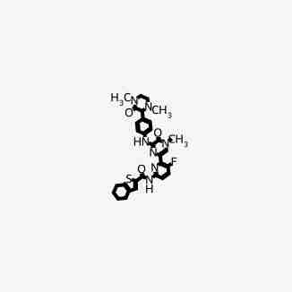 CN1CCN(C)C(c2ccc(Nc3nc(-c4nc(NC(=O)c5cc6c(s5)CCCC6)ccc4F)cn(C)c3=O)cc2)C1=O